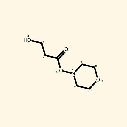 O=C(CCO)ON1CCOCC1